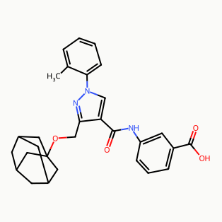 Cc1ccccc1-n1cc(C(=O)Nc2cccc(C(=O)O)c2)c(COC23CC4CC(CC(C4)C2)C3)n1